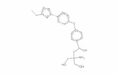 CCc1nc(-c2ccc(Sc3ccc(C(O)CC(N)(CO)CO)cc3)cc2)co1